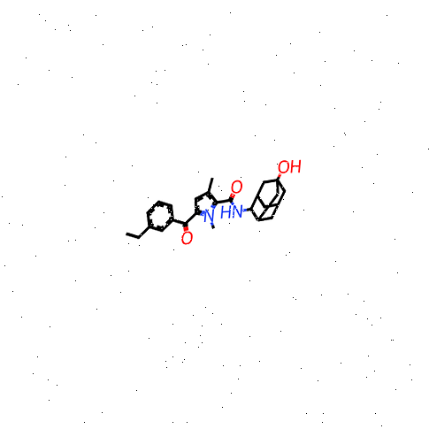 CCc1cccc(C(=O)c2cc(C)c(C(=O)NC3C4CC5CC3CC(O)(C5)C4)n2C)c1